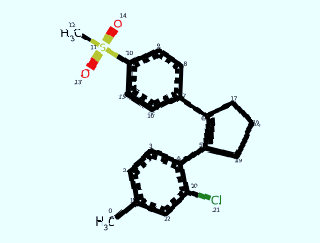 Cc1ccc(C2=C(c3ccc(S(C)(=O)=O)cc3)CCC2)c(Cl)c1